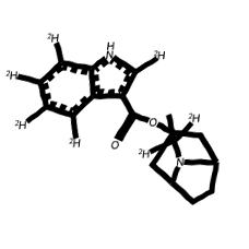 [2H]c1[nH]c2c([2H])c([2H])c([2H])c([2H])c2c1C(=O)OC1CC2CCC(C1)N2C([2H])([2H])C